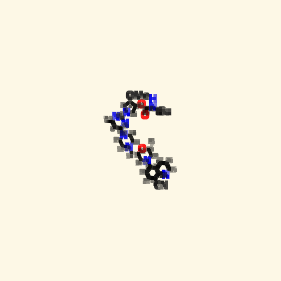 CO[C@H]1CN(c2nc(C)cc(N3CCN(C[C@H]4CN(c5ccc(C#N)c6ncccc56)C[C@@H](C)O4)CC3)n2)C[C@H]1OC(=O)NC(C)(C)C